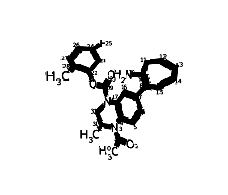 CC(=O)N1c2ccc(C3=C(N)CC=CC=C3)cc2N(C(=O)Oc2cc(F)ccc2C)C[C@@H]1C